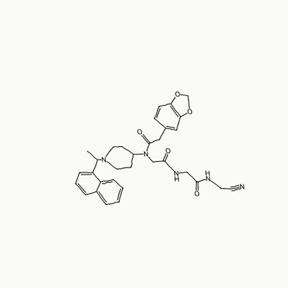 CC(c1cccc2ccccc12)N1CCC(N(CC(=O)NCC(=O)NCC#N)C(=O)Cc2ccc3c(c2)OCO3)CC1